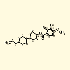 CCCC1CCC(C2CCC(OC(=O)c3ccc(OC)c(F)c3F)CC2)CC1